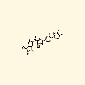 CCn1nc(-c2ccc(-c3ccc(C)c(C)n3)c(C)c2)nc1Nc1cc2c(cc1C)C(=O)NC2C